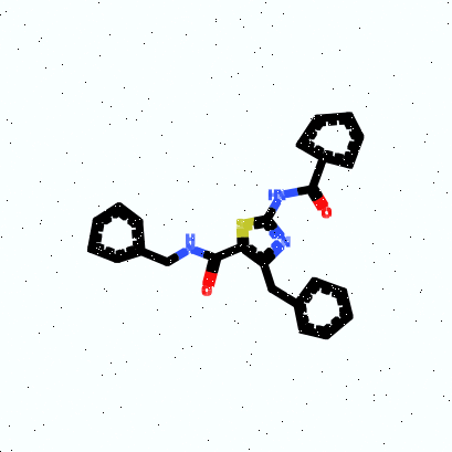 O=C(Nc1nc(Cc2ccccc2)c(C(=O)NCc2ccccc2)s1)c1ccccc1